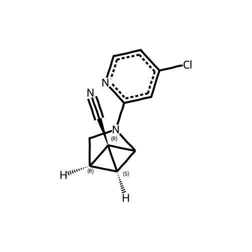 N#C[C@@]12C3[C@H]1[C@H]2CN3c1cc(Cl)ccn1